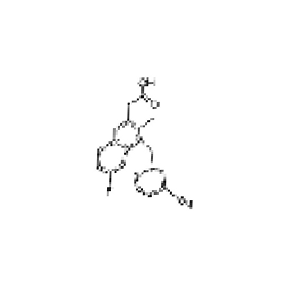 Cc1c(CC(=O)O)cc2ccc(F)cc2c1Cc1cccc(C#N)c1